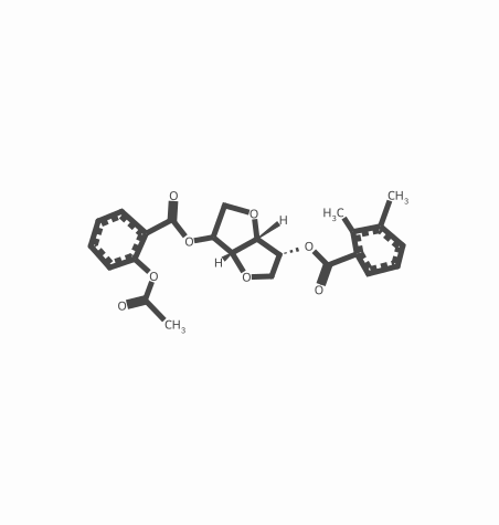 CC(=O)Oc1ccccc1C(=O)OC1CO[C@H]2[C@@H]1OC[C@H]2OC(=O)c1cccc(C)c1C